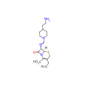 CC(=O)OCC1=C(C(=O)O)N2C(=O)[C@@H](N=CN3CCC(CCN)CC3)[C@H]2SC1